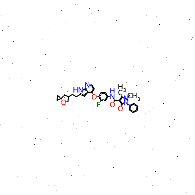 Cc1c(C(=O)Nc2ccc(Oc3ccnc4[nH]c(CCC5COC6(CC6)C5)cc34)c(F)c2)c(=O)n(-c2ccccc2)n1C